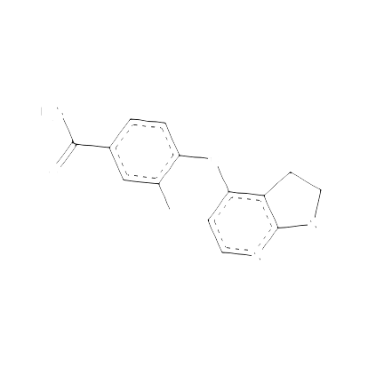 NC(=O)c1ccc(Oc2ccnc3c2CCN3)c(F)c1